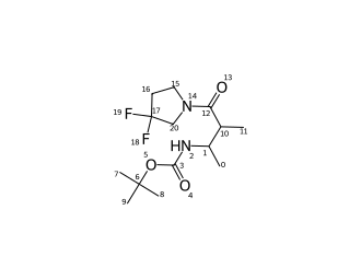 CC(NC(=O)OC(C)(C)C)C(C)C(=O)N1CCC(F)(F)C1